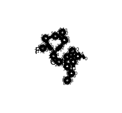 C=Cc1ccc(C2(C3=CC=C(F)CC3)c3cc(N(C4=CC5C(C=C4)OC4CCC(N6C7=CCC(CC7)C7=CC=CC(C8C=CC=CC8)/C7=C/C7=CC=C(CC7)C7CCC=CC7c7ccc6cc7-c6ccc(F)cc6)=CC45)C4CC=C(C5=CC(C6=CCCC=C6)=CCC5)CC4)ccc3C3C=CCCC32)cc1